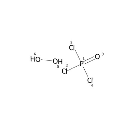 O=P(Cl)(Cl)Cl.OO